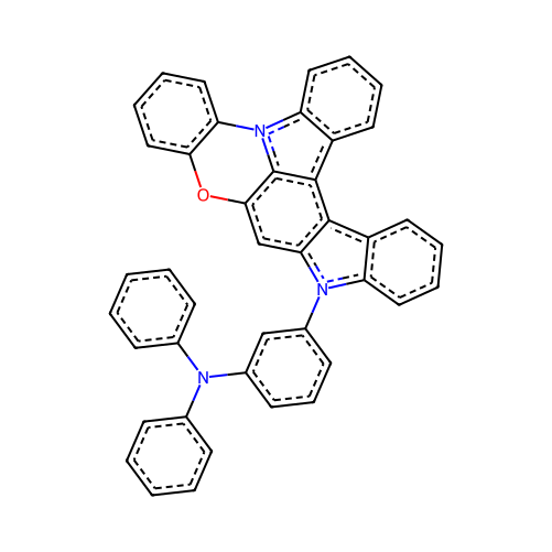 c1ccc(N(c2ccccc2)c2cccc(-n3c4ccccc4c4c5c6ccccc6n6c5c(cc43)Oc3ccccc3-6)c2)cc1